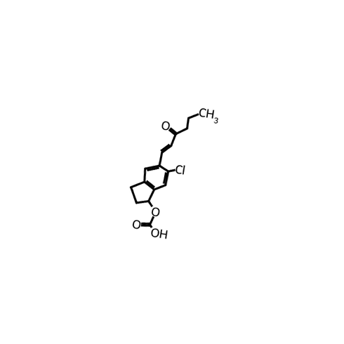 CCCC(=O)C=Cc1cc2c(cc1Cl)C(OC(=O)O)CC2